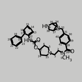 CN(CCN1CCC(OC(=O)Nc2ccccc2-c2ccccc2)CC1)C(=O)c1ccc(CN2CC3CC2CN3)cc1